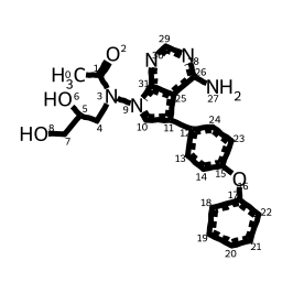 CC(=O)N(CC(O)CO)n1cc(-c2ccc(Oc3ccccc3)cc2)c2c(N)ncnc21